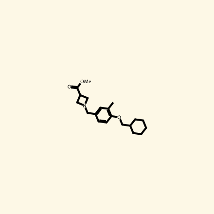 COC(=O)C1CN(Cc2ccc(OCC3CCCCC3)c(C)c2)C1